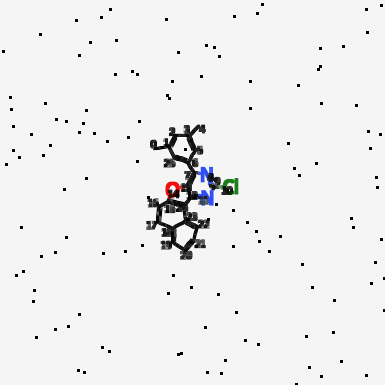 Cc1cc(C)cc(-c2nc(Cl)nc3c2oc2ccc4ccccc4c23)c1